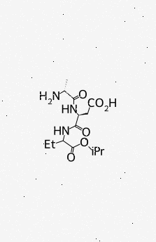 CCC(NC(=O)[C@H](CC(=O)O)NC(=O)[C@@H](C)N)C(=O)OC(C)C